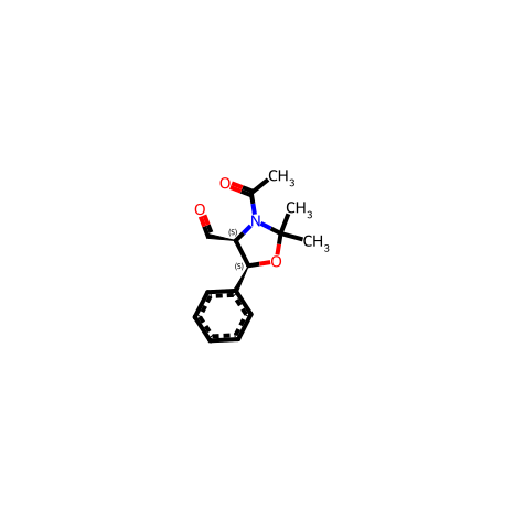 CC(=O)N1[C@H](C=O)[C@H](c2ccccc2)OC1(C)C